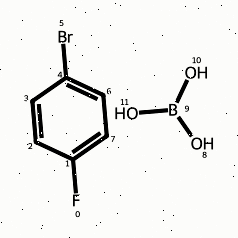 Fc1ccc(Br)cc1.OB(O)O